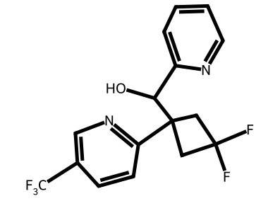 OC(c1ccccn1)C1(c2ccc(C(F)(F)F)cn2)CC(F)(F)C1